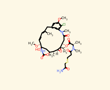 COc1cc2cc(c1Cl)N(C)C(=O)C[C@H](OC(=O)[C@H](C)N(C)C(=O)CCSCC(N)=O)[C@]1(C)O[C@H]1[C@H](C)C1C[C@@](O)(NC(=O)O1)[C@H](OC)/C=C/C=C(\C)C2